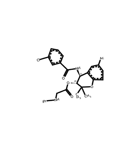 CC(=O)c1ccc2c(c1)[C@H](NC(=O)c1cccc(Cl)c1)[C@@H](OC(=O)CNC(C)C)C(C)(C)O2